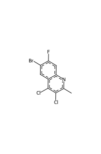 Cc1nc2cc(F)c(Br)cc2c(Cl)c1Cl